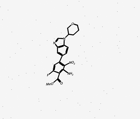 COC(=O)c1c(F)cc(-c2ccc3c(c2)ncn3C2CCCOC2)c([N+](=O)[O-])c1N